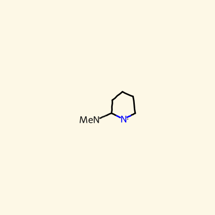 CNC1CCCC[N]1